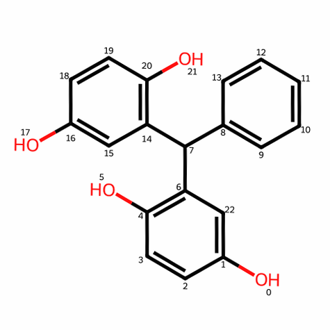 Oc1ccc(O)c(C(c2ccccc2)c2cc(O)ccc2O)c1